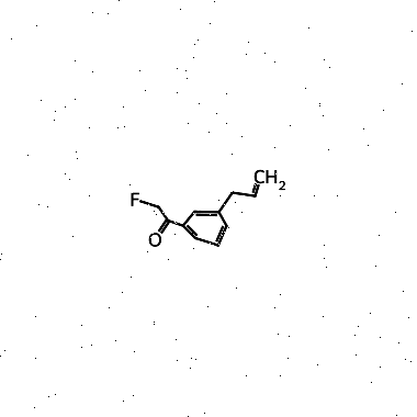 C=CCc1cccc(C(=O)CF)c1